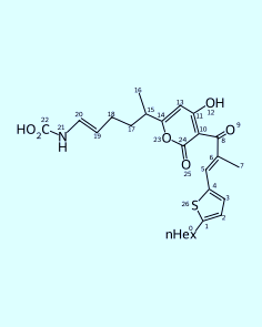 CCCCCCc1ccc(C=C(C)C(=O)c2c(O)cc(C(C)CCC=CNC(=O)O)oc2=O)s1